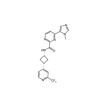 Cn1cncc1-c1ccnc(C(=O)N[C@H]2C[C@@H](c3ccnc(C(F)(F)F)c3)C2)n1